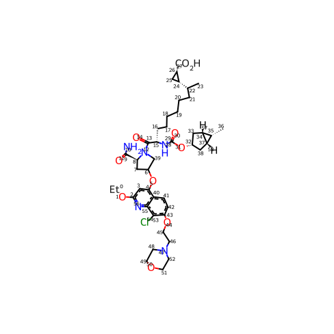 CCOc1cc(OC2C[C@@H](C(N)=O)N(C(=O)[C@H](CCCCCCC(C)[C@@H]3C[C@@H]3C(=O)O)NC(=O)O[C@@H]3C[C@@H]4[C@H](C)[C@@H]4C3)C2)c2ccc(OCCN3CCOCC3)c(Cl)c2n1